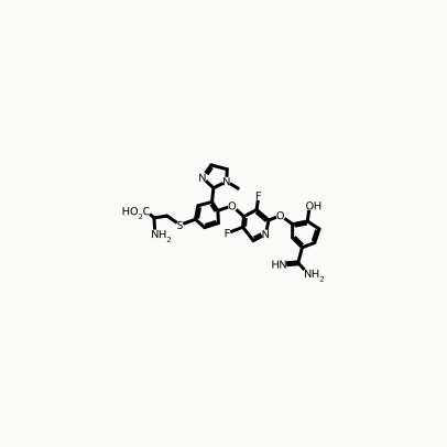 CN1CC=NC1c1cc(SCC(N)C(=O)O)ccc1Oc1c(F)cnc(Oc2cc(C(=N)N)ccc2O)c1F